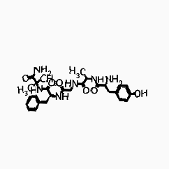 C[C@@H](NC(=O)[C@@H](N)Cc1ccc(O)cc1)C(=O)NCC(=O)N[C@@H](Cc1ccccc1)C(=O)NC(C)(C)C(N)=O